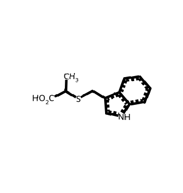 CC(SCc1c[nH]c2ccccc12)C(=O)O